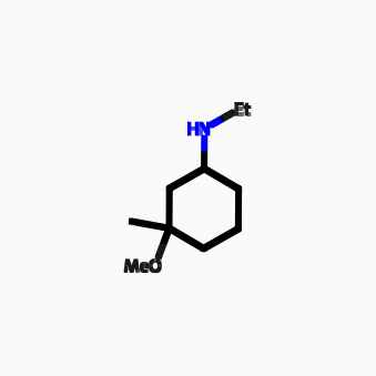 CCNC1CCCC(C)(OC)C1